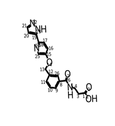 O=C(O)CCNC(=O)c1cccc(COc2ccc(-c3ccn[nH]3)nc2)c1